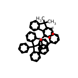 CC1(C)c2ccccc2-c2c(N(c3ccccc3-c3cccc(F)c3)c3ccccc3C3(c4ccccc4)c4ccccc4-c4ccccc43)cccc21